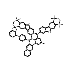 Cc1cc2c3c(c1)N(c1ccc4c(c1)oc1cc5c(cc14)C(C)(C)CCC5(C)C)c1cc4oc5cc6c(cc5c4cc1B3N(c1ccc(-c3ccccc3)cc1)c1cc3ccccc3cc1-2)C(C)(C)CCC6(C)C